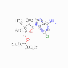 C#C[C@@]1(OC(C)=O)[C@@H](COC(C(=O)OCC)C(=O)OCC)O[C@@H](n2cnc3c(N)nc(Cl)nc32)[C@@H]1OC(C)=O